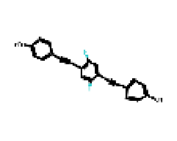 CCCc1ccc(C#Cc2cc(F)c(C#Cc3ccc(C#N)cc3)cc2F)cc1